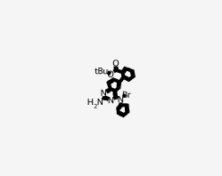 CC(C)(C)OC(=O)c1ccccc1-c1ccc2nc(N)nc(N(Br)c3ccccc3)c2c1